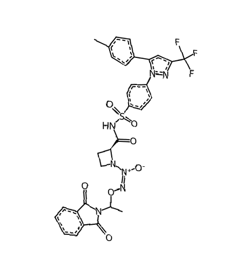 Cc1ccc(-c2cc(C(F)(F)F)nn2-c2ccc(S(=O)(=O)NC(=O)[C@@H]3CCN3/[N+]([O-])=N\OC(C)N3C(=O)c4ccccc4C3=O)cc2)cc1